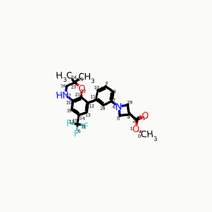 COC(=O)C1CN(c2cccc(-c3cc(C(F)(F)F)cc4c3OC(C)(C)CN4)c2)C1